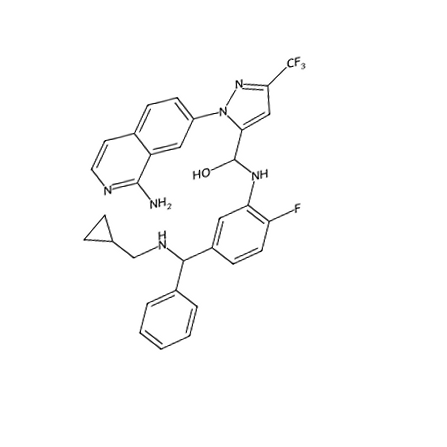 Nc1nccc2ccc(-n3nc(C(F)(F)F)cc3C(O)Nc3cc(C(NCC4CC4)c4ccccc4)ccc3F)cc12